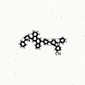 N#Cc1ccc2c(c1)c1cc(-c3ccc(-c4cc5c6ccccc6c(-c6cccc(-c7ccccc7)n6)cc5c5ccccc45)cc3)ccc1n2-c1ccccc1